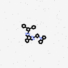 c1ccc(-c2cc(-c3ccccc3)cc(-c3ncc4c5ccccc5c5cnc(-c6cccc(-n7c8ccccc8c8ccccc87)c6)nc5c4n3)c2)cc1